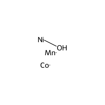 [Co].[Mn].[OH][Ni]